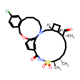 C[C@@H]1[C@@H](C)CCC[C@](C)(C=O)[C@@H]2CC[C@H]2CN2CCCCc3cc(Cl)ccc3COc3ccc(cc32)C(=O)NS1(=O)=O